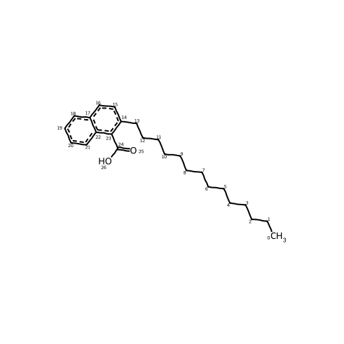 CCCCCCCCCCCCCCc1ccc2ccccc2c1C(=O)O